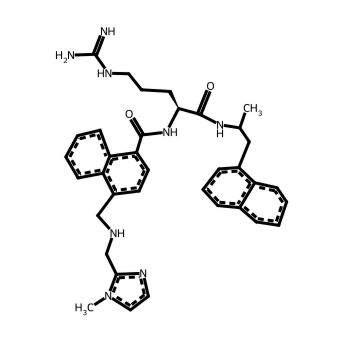 CC(Cc1cccc2ccccc12)NC(=O)[C@H](CCCNC(=N)N)NC(=O)c1ccc(CNCc2nccn2C)c2ccccc12